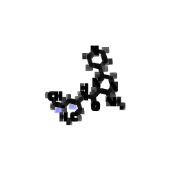 C=C/C(=C\C=C/C)NC(=O)c1nc(-c2ccncc2)cnc1N